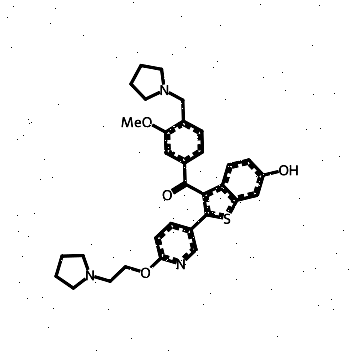 COc1cc(C(=O)c2c(-c3ccc(OCCN4CCCC4)nc3)sc3cc(O)ccc23)ccc1CN1CCCC1